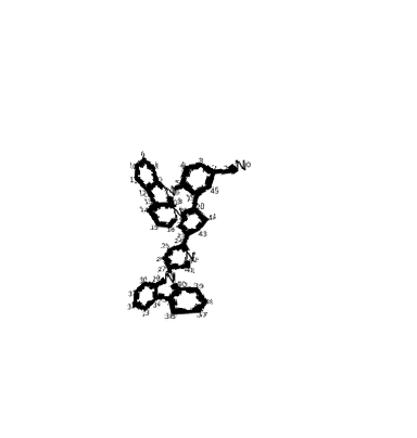 N#Cc1ccc(-n2c3ccccc3c3cccnc32)c(-c2ccc(-c3ccc(-n4c5ccccc5c5ccccc54)cn3)cc2)c1